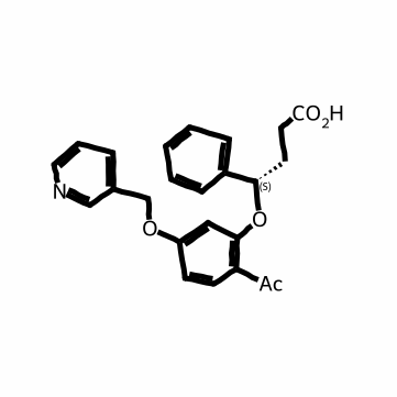 CC(=O)c1ccc(OCc2cccnc2)cc1O[C@@H](CCC(=O)O)c1ccccc1